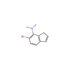 CN(C)c1c(Br)ccc2c1CC=C2